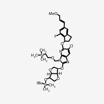 COC/C=C/c1cc(F)c2c(c1)CCC2Oc1nc2c(cc1Cl)nc(O[C@@H]1CO[C@@H]3C(O[Si](C)(C)C(C)(C)C)CO[C@@H]31)n2COCC[Si](C)(C)C